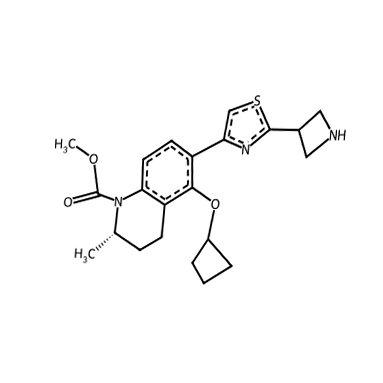 COC(=O)N1c2ccc(-c3csc(C4CNC4)n3)c(OC3CCC3)c2CC[C@@H]1C